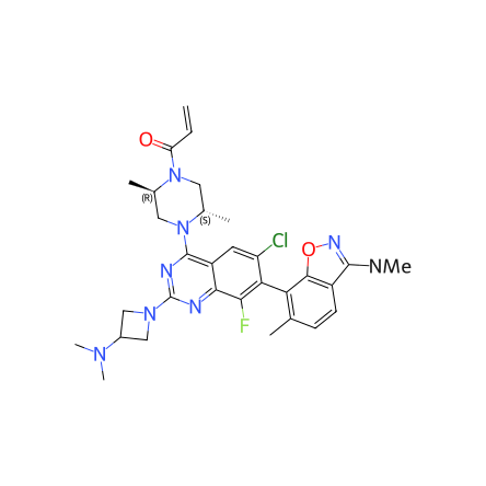 C=CC(=O)N1C[C@H](C)N(c2nc(N3CC(N(C)C)C3)nc3c(F)c(-c4c(C)ccc5c(NC)noc45)c(Cl)cc23)C[C@H]1C